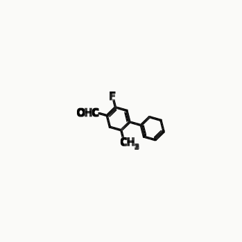 CC1CC(C=O)=C(F)C=C1C1=CC=CCC1